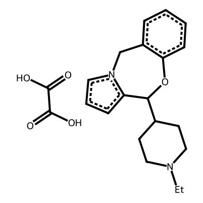 CCN1CCC(C2Oc3ccccc3Cn3cccc32)CC1.O=C(O)C(=O)O